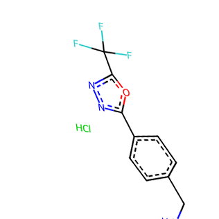 Cl.NCc1ccc(-c2nnc(C(F)(F)F)o2)cc1